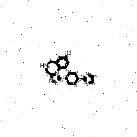 Clc1ccc2c(c1)CNCc1nnc([C@H]3CC[C@H](c4nccs4)CC3)n1-2